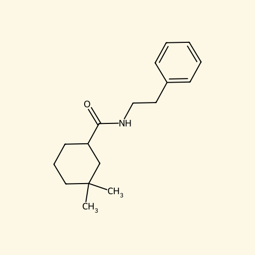 CC1(C)CCCC(C(=O)NCCc2ccccc2)C1